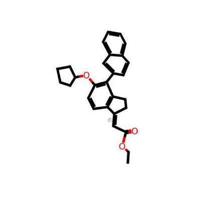 CCOC(=O)/C=C1\CCc2c1ccc(OC1CCCC1)c2-c1ccc2ccccc2c1